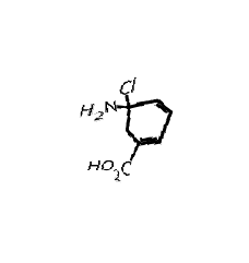 NC1(Cl)C=CC=C(C(=O)O)C1